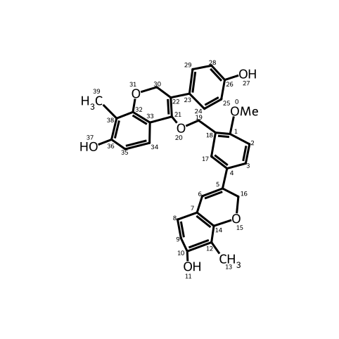 COc1ccc(C2=Cc3ccc(O)c(C)c3OC2)cc1COC1=C(c2ccc(O)cc2)COc2c1ccc(O)c2C